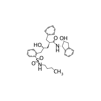 CCCCNS(=O)(=O)c1ccccc1C[C@@H](O)C[C@@H](Cc1ccccc1)C(=O)N[C@H]1c2ccccc2C[C@H]1O